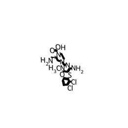 Cn1c(N2CCN(C(=O)O)[C@H](CN)C2)nc(N)c(Sc2cccc(Cl)c2Cl)c1=O